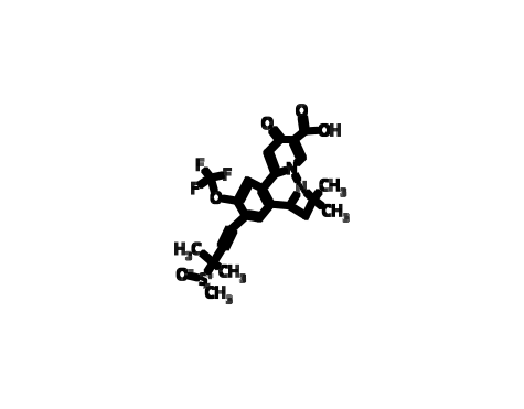 C[S+]([O-])C(C)(C)C#Cc1cc2c(cc1OC(F)(F)F)-c1cc(=O)c(C(=O)O)cn1N1C2CC1(C)C